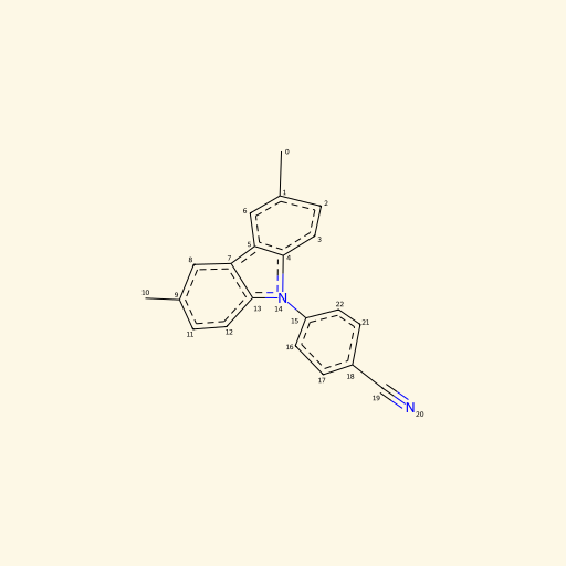 Cc1ccc2c(c1)c1cc(C)ccc1n2-c1ccc(C#N)cc1